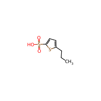 CCCc1ccc(S(=O)(=O)O)s1